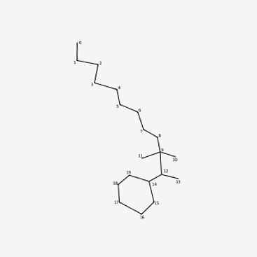 CCCCCCCCCC(C)(C)C(C)C1CCCCC1